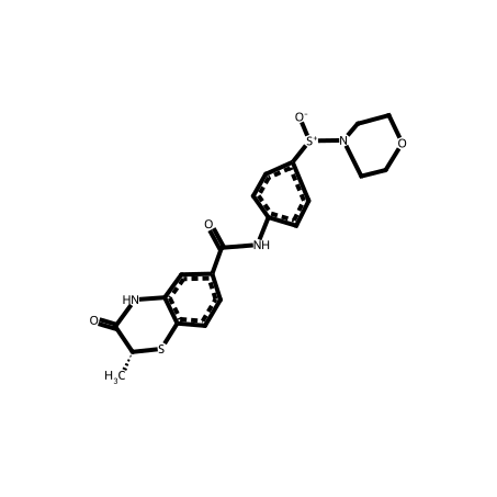 C[C@H]1Sc2ccc(C(=O)Nc3ccc([S+]([O-])N4CCOCC4)cc3)cc2NC1=O